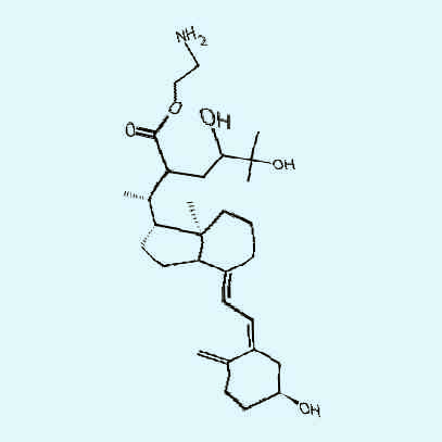 C=C1CC[C@H](O)C/C1=C/C=C1CCC[C@@]2(C)C1CC[C@@H]2[C@H](C)C(CC(O)C(C)(C)O)C(=O)OCCN